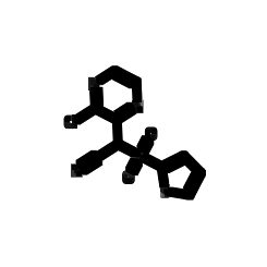 N#CC(c1nccnc1Cl)S(=O)(=O)c1cccs1